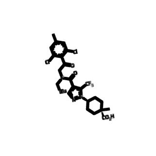 Cc1cc(Cl)c(C(=O)CN(CC(C)(C)C)C(=O)c2cnn([C@H]3CC[C@](C)(C(=O)O)CC3)c2C(F)(F)F)c(Cl)c1